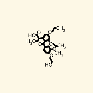 C=CCOc1cc(OCC=C)c(C(=O)c2ccc(OCCO)c(OC)c2)c(C(CC)C(=O)O)c1